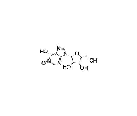 [O-][n+]1cnc2c(ncn2[C@@H]2O[C@H](CO)[C@@H](O)[C@H]2O)c1O